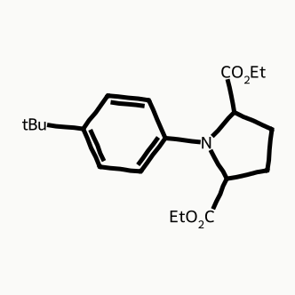 CCOC(=O)C1CCC(C(=O)OCC)N1c1ccc(C(C)(C)C)cc1